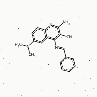 CN(C)c1ccc2nc(N)c(C#N)c(/N=C/c3ccccc3)c2c1